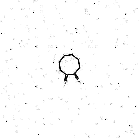 O=C1CCCCCCC1=O